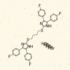 Br.Br.Br.Br.Fc1ccc(-c2nc(SCCCCSc3nc(-c4ccc(F)cc4)c(-c4ccc(F)cc4)[nH]3)[nH]c2-c2ccc(F)cc2)cc1